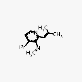 C=Nc1c(C(C)C)ccnc1C=C(C)C